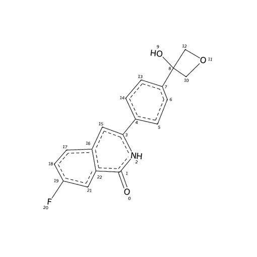 O=c1[nH]c(-c2ccc(C3(O)COC3)cc2)cc2ccc(F)cc12